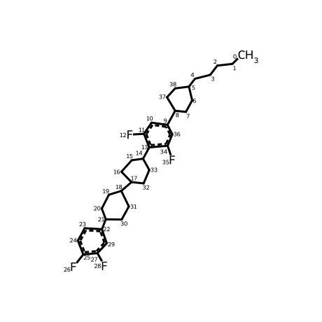 CCCCCC1CCC(c2cc(F)c(C3CCC(C4CCC(c5ccc(F)c(F)c5)CC4)CC3)c(F)c2)CC1